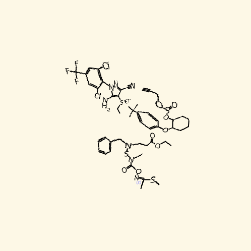 C#CCOS(=O)OC1CCCCC1Oc1ccc(C(C)(C)C)cc1.CCOC(=O)CCN(Cc1ccccc1)SN(C)C(=O)O/N=C(/C)SC.CC[S+]([O-])c1c(C#N)nn(-c2c(Cl)cc(C(F)(F)F)cc2Cl)c1N